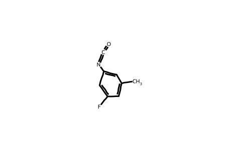 Cc1cc(F)cc(N=C=O)c1